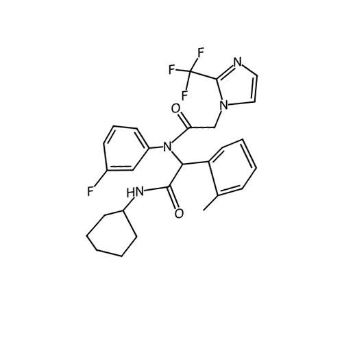 Cc1ccccc1C(C(=O)NC1CCCCC1)N(C(=O)Cn1ccnc1C(F)(F)F)c1cccc(F)c1